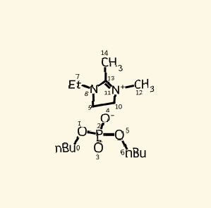 CCCCOP(=O)([O-])OCCCC.CCN1CC[N+](C)=C1C